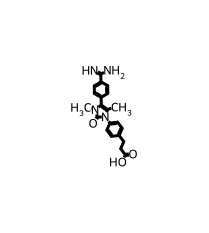 Cc1c(-c2ccc(C(=N)N)cc2)n(C)c(=O)n1-c1ccc(CCC(=O)O)cc1